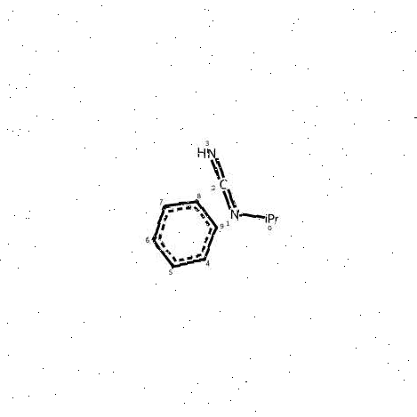 CC(C)N=C=N.c1ccccc1